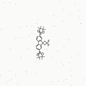 CC1(C)OB(c2ccc3c(c2)C2(CC(F)(F)C2)c2cc(B4OC(C)(C)C(C)(C)O4)ccc2-3)OC1(C)C